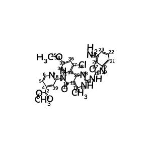 COC(=O)c1ccnc(NC(=O)C2=C(C)NC(Nc3nc4cccc(N)c4o3)=NC2c2ccc(OC)cc2Cl)c1